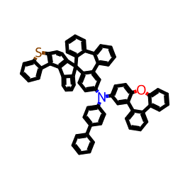 c1ccc(-c2ccc(N(c3ccc4c(c3)-c3ccccc3-c3ccccc3O4)c3ccc4c(c3)-c3ccccc3-c3ccccc3C43c4ccccc4-c4c3ccc3sc5ccccc5c43)cc2)cc1